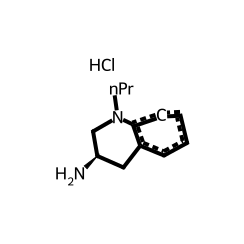 CCCN1C[C@H](N)Cc2ccccc21.Cl